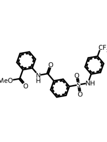 COC(=O)c1ccccc1NC(=O)c1cccc(S(=O)(=O)Nc2ccc(C(F)(F)F)cc2)c1